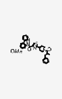 COc1ccc(-c2ccccc2)c(NC(=O)c2csc(C3CCN(C(=O)C(C)Cc4ccccc4)CC3)n2)c1